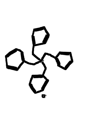 [Cl-].c1ccc(C[P+](Cc2ccccc2)(Cc2ccccc2)Cc2ccccc2)cc1